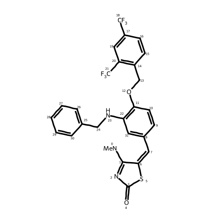 CNC1=NC(=O)SC1=Cc1ccc(OCc2ccc(C(F)(F)F)cc2C(F)(F)F)c(NCc2ccccc2)c1